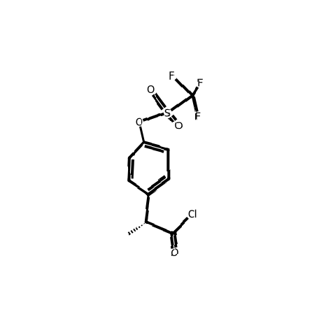 C[C@@H](C(=O)Cl)c1ccc(OS(=O)(=O)C(F)(F)F)cc1